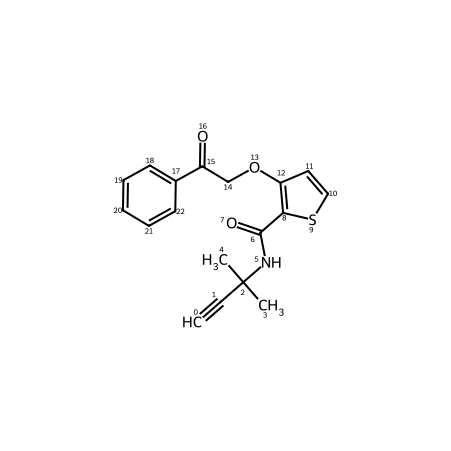 C#CC(C)(C)NC(=O)c1sccc1OCC(=O)c1ccccc1